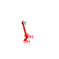 CCC=CCC=CCC=CCC=CCC=CCC=CCCC(=O)Oc1cc(O)cc(/C=C/c2ccc(O)cc2)c1